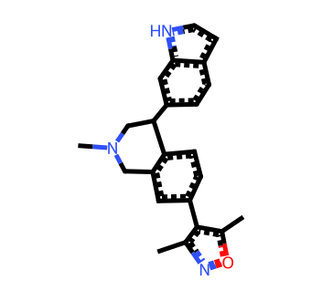 Cc1noc(C)c1-c1ccc2c(c1)CN(C)CC2c1ccc2cc[nH]c2c1